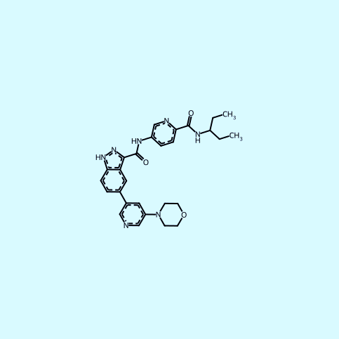 CCC(CC)NC(=O)c1ccc(NC(=O)c2n[nH]c3ccc(-c4cncc(N5CCOCC5)c4)cc23)cn1